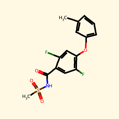 Cc1cccc(Oc2cc(F)c(C(=O)NS(C)(=O)=O)cc2F)c1